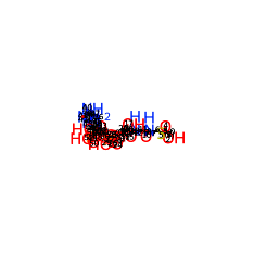 C[C@H](O)C(=O)SCCNC(=O)CCNC(=O)[C@H](O)C(C)(C)COP(=O)(O)OP(=O)(O)OC[C@H]1O[C@@H](n2cnc3c(N)ncnc32)[C@H](O)[C@@H]1OP(=O)(O)O